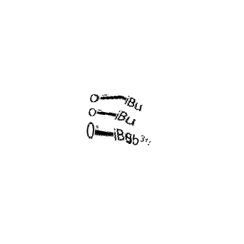 CCC(C)[O-].CCC(C)[O-].CCC(C)[O-].[Sb+3]